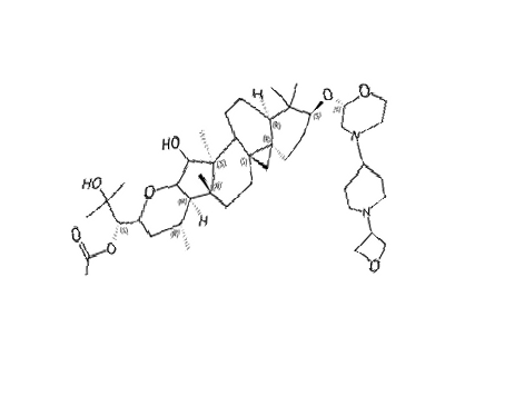 CC(=O)O[C@@H](C1C[C@@H](C)[C@H]2C(O1)C(O)[C@@]1(C)C3CC[C@H]4C(C)(C)[C@@H](O[C@H]5CN(C6CCN(C7COC7)CC6)CCO5)CC[C@@]45C[C@@]35CC[C@]21C)C(C)(C)O